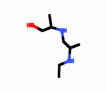 CCNC(C)CNC(C)CO